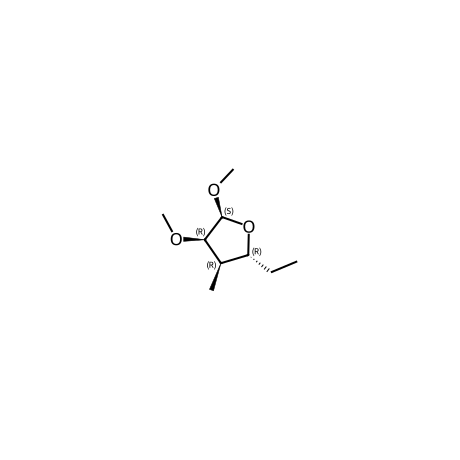 CC[C@H]1O[C@H](OC)[C@H](OC)[C@@H]1C